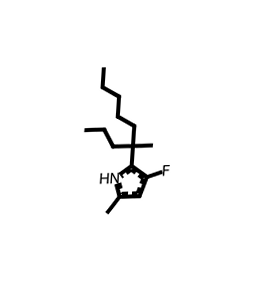 CCCCCC(C)(CCC)c1[nH]c(C)cc1F